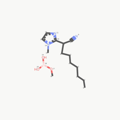 CCCCCCCC(C#N)c1nccn1C.COB(O)O